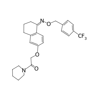 O=C(COc1ccc2c(c1)CCC/C2=N/OCc1ccc(C(F)(F)F)cc1)N1CCCCC1